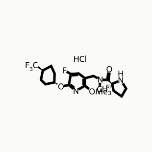 COc1nc(O[C@H]2CC[C@H](C(F)(F)F)CC2)c(F)cc1CN(C)C(=O)[C@@H]1CCCN1.Cl